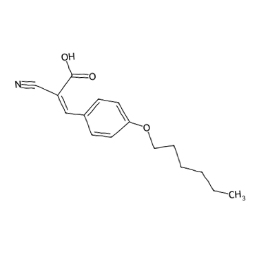 CCCCCCOc1ccc(/C=C(/C#N)C(=O)O)cc1